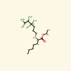 CCCCCC(SCCCC(F)(F)C(F)C(F)F)C(=O)OCC